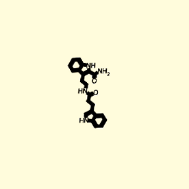 NC(=O)c1[nH]c2ccccc2c1CCNC(=O)[CH]Cc1c[nH]c2ccccc12